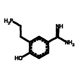 N=C(N)c1ccc(O)c(CCP)c1